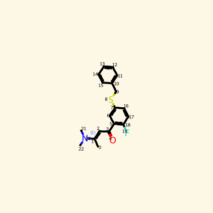 C/C(=C\C(=O)c1cc(SCc2ccccc2)ccc1F)N(C)C